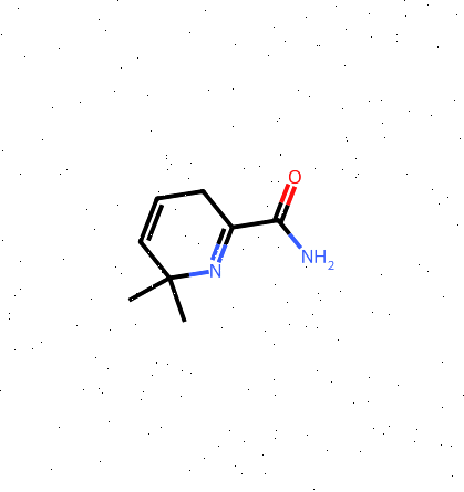 CC1(C)C=CCC(C(N)=O)=N1